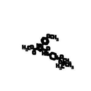 COC(=O)c1cc(C(=O)NC2CCN(C(=O)OC(C)(C)C)CC2)n(-c2ccc(OC)cc2)n1